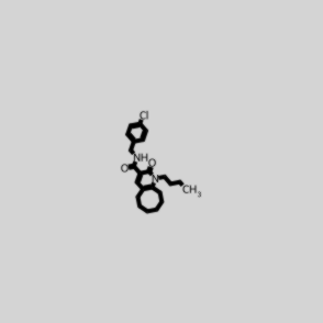 CCCCn1c2c(cc(C(=O)NCc3ccc(Cl)cc3)c1=O)CCCCCC2